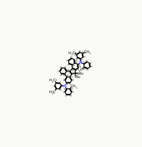 Cc1cc(C)cc(N(c2ccc3c4c(c5ccccc5c3c2)-c2c(cc(N(c3cc(C)cc(C)c3)c3ccccc3C)c3ccccc23)C4(C(C)(C)C)C(C)(C)C)c2ccccc2C)c1